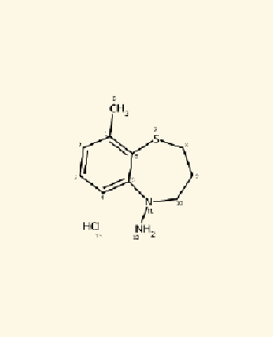 Cc1cccc2c1SCCCN2N.Cl